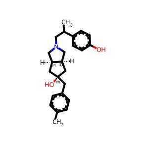 Cc1ccc(C[C@]2(O)C[C@H]3CN(CC(C)c4ccc(O)cc4)C[C@H]3C2)cc1